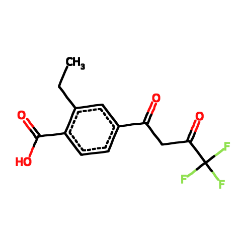 CCc1cc(C(=O)CC(=O)C(F)(F)F)ccc1C(=O)O